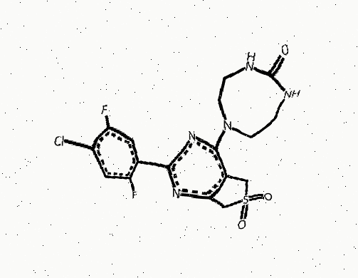 O=C1NCCN(c2nc(-c3cc(F)c(Cl)cc3F)nc3c2CS(=O)(=O)C3)CCN1